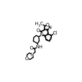 Cc1onc2c1c(=O)n(C1CCCC(NC(=O)CN3CCOCC3)C1)c1cccc(Cl)c21